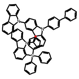 c1ccc(-c2ccc(-n3c4ccc(-n5c6ccccc6c6ccccc65)cc4c4c(-n5c6ccccc6c6cccc([Si](c7ccccc7)(c7ccccc7)c7ccccc7)c65)cccc43)cc2)cc1